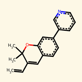 C=CC1=Cc2ccc(-c3cccnc3)cc2OC1(C)C